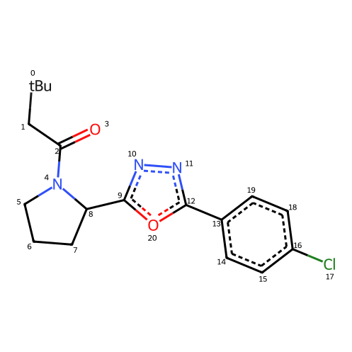 CC(C)(C)CC(=O)N1CCCC1c1nnc(-c2ccc(Cl)cc2)o1